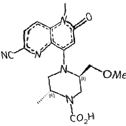 COC[C@H]1CN(C(=O)O)[C@H](C)CN1c1cc(=O)n(C)c2ccc(C#N)nc12